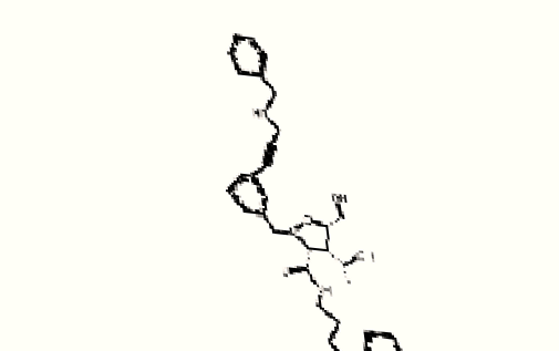 C[C@@H](O)[C@H]1[C@@H](CO)ON(Cc2cccc(C#CCNCc3ccccc3)c2)[C@H]1C(=O)NCCCN(C)c1ccccc1